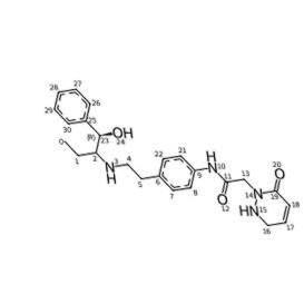 CCC(NCCc1ccc(NC(=O)CN2NCC=CC2=O)cc1)[C@H](O)c1ccccc1